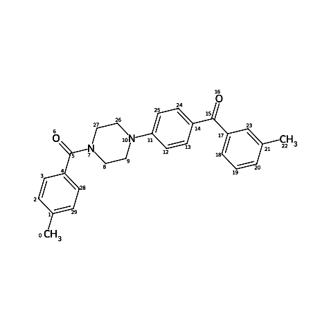 Cc1ccc(C(=O)N2CCN(c3ccc(C(=O)c4cccc(C)c4)cc3)CC2)cc1